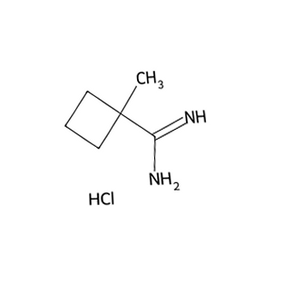 CC1(C(=N)N)CCC1.Cl